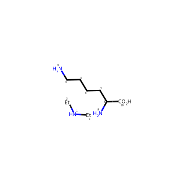 CCNCC.NCCCCC(N)C(=O)O